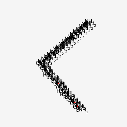 NC(=O)N(C=O)C=O.NC(N)=O.NC(N)=O.NC(N)=O.NC(N)=O.NC(N)=O.NC(N)=O.NC(N)=O.NC(N)=O.NC(N)=O.NC(N)=O.NC(N)=O.NC(N)=O.NC(N)=O.NC(N)=O.NC(N)=O.NC(N)=O.NC(N)=O.NC(N)=O.NC(N)=O.NC(N)=O.NC(N)=O.NC(N)=O.NC(N)=O.NC(N)=O.NC(N)=O.NC(N)=O.NC(N)=O.NC(N)=O.NC(N)=O.NC(N)=O